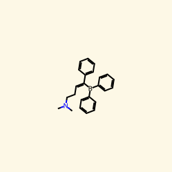 CN(C)CC/C=C(\B(c1ccccc1)c1ccccc1)c1ccccc1